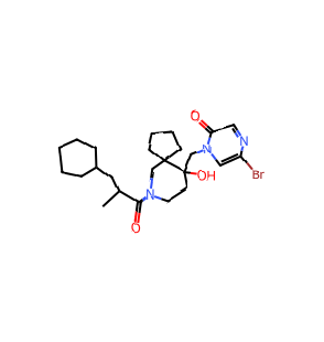 CC(CC1CCCCC1)C(=O)N1CCC(O)(Cn2cc(Br)ncc2=O)C2(CCCC2)C1